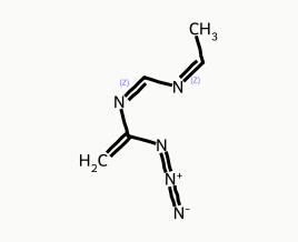 C=C(N=[N+]=[N-])/N=C\N=C/C